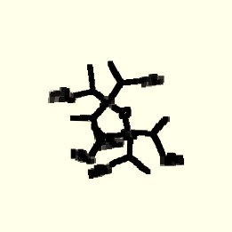 CCCC[CH](C)[Sn]([O][Sn]([CH](C)CCCC)([CH](C)CCCC)[CH](C)CCCC)([CH](C)CCCC)[CH](C)CCCC